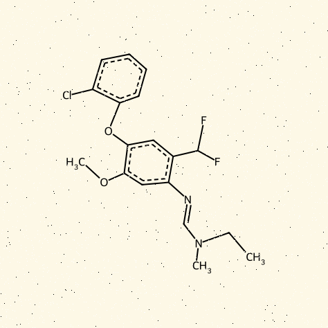 CCN(C)/C=N/c1cc(OC)c(Oc2ccccc2Cl)cc1C(F)F